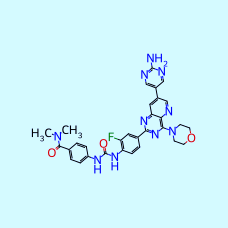 CN(C)C(=O)c1ccc(NC(=O)Nc2ccc(-c3nc(N4CCOCC4)c4ncc(-c5cnc(N)nc5)cc4n3)cc2F)cc1